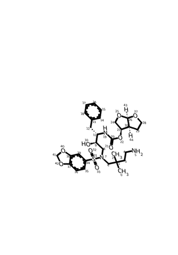 CC(C)(CCN)CN(C[C@@H](O)[C@H](Cc1ccccc1)NC(=O)O[C@H]1CO[C@H]2OCC[C@H]21)S(=O)(=O)c1ccc2c(c1)OCO2